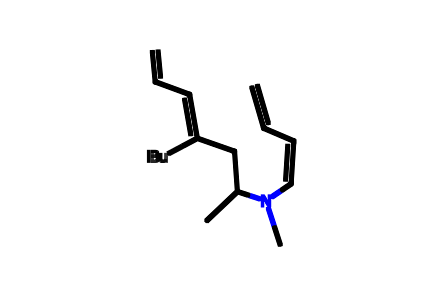 C=C/C=C\N(C)C(C)C/C(=C/C=C)C(C)CC